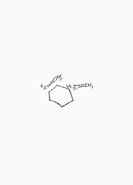 C1CCCCC1.C=C.C=C